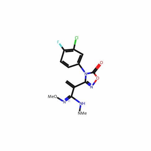 C=C(/C(=N\OC)NNC)c1noc(=O)n1-c1ccc(F)c(Cl)c1